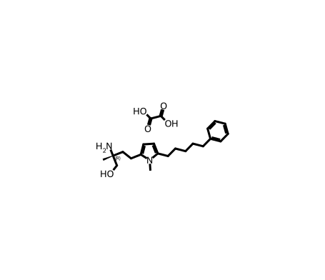 Cn1c(CCCCCc2ccccc2)ccc1CC[C@@](C)(N)CO.O=C(O)C(=O)O